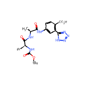 CC(C)[C@H](NC(=O)OC(C)(C)C)C(=O)N[C@@H](C)C(=O)Nc1ccc(C(=O)O)c(-c2nnn[nH]2)c1